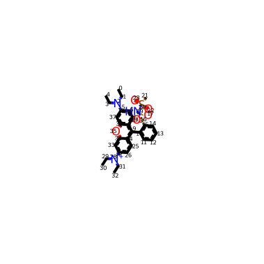 CCN(CC)c1ccc2c(-c3ccccc3S(=O)(=O)NS(C)(=O)=O)c3ccc(=[N+](CC)CC)cc-3oc2c1